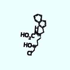 O=C(O)N[C@@H](CCC[C@H](O)CCl)Cc1ccc2ccccc2c1